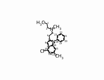 CCCN(C)CCc1cc2c(Cl)nc(C)cc2n1-c1ccccc1